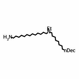 CCCCCCCCCCCCCCCCCCN(CC)CCCCCCCCCCCCCN